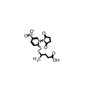 CC(CCC(=O)O)SSC1C=CC([N+](=O)[O-])=CN1N1C(=O)CCC1=O